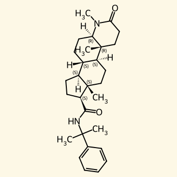 CN1C(=O)CC[C@]2(C)[C@H]3CC[C@]4(C)[C@@H](C(=O)NC(C)(C)c5ccccc5)CC[C@H]4[C@@H]3CC[C@@H]12